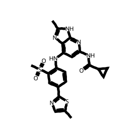 Cc1nc2c(Nc3ccc(-c4ncc(C)s4)cc3S(C)(=O)=O)cc(NC(=O)C3CC3)nc2[nH]1